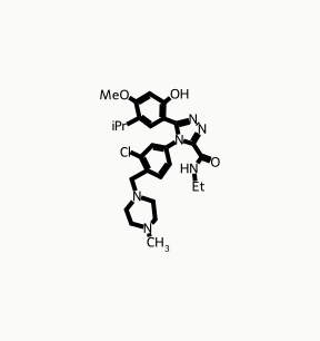 CCNC(=O)c1nnc(-c2cc(C(C)C)c(OC)cc2O)n1-c1ccc(CN2CCN(C)CC2)c(Cl)c1